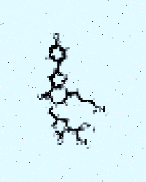 CCCCC1CN(CC2CN(C(C)C)C(=O)O2)C(=O)c2cc(-c3ccc(Cl)cc3)nn21